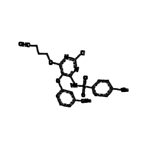 COc1cccc(Oc2c(NS(=O)(=O)c3ccc(C(C)(C)C)cc3)nc(Cl)nc2OCCCC=O)c1